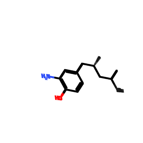 CC(C[C@@H](C)Cc1ccc(O)c(N)c1)C(C)(C)C